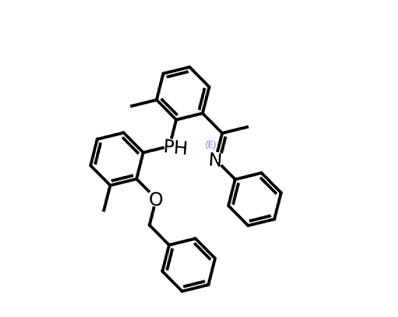 C/C(=N\c1ccccc1)c1cccc(C)c1Pc1cccc(C)c1OCc1ccccc1